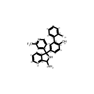 NC1NC(c2ccnc(C(F)(F)F)c2)(c2ccc(O)c(-c3ccccc3F)c2)c2cccnc21